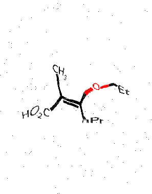 CCC/C(OCC)=C(/C)C(=O)O